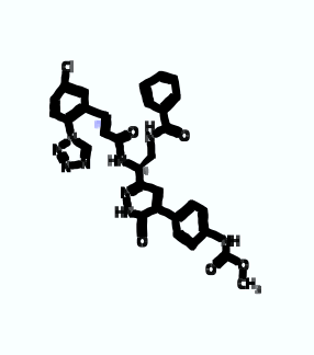 COC(=O)Nc1ccc(-c2cc([C@H](CNC(=O)c3ccccc3)NC(=O)/C=C/c3cc(Cl)ccc3-n3cnnn3)n[nH]c2=O)cc1